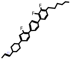 C/C=C/C1CCC(c2ccc(-c3ccc(-c4ccc(CCCCCC)c(F)c4F)cc3)c(F)c2)CC1